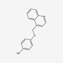 Sc1ccc(OCc2ccnc3ccccc23)cc1